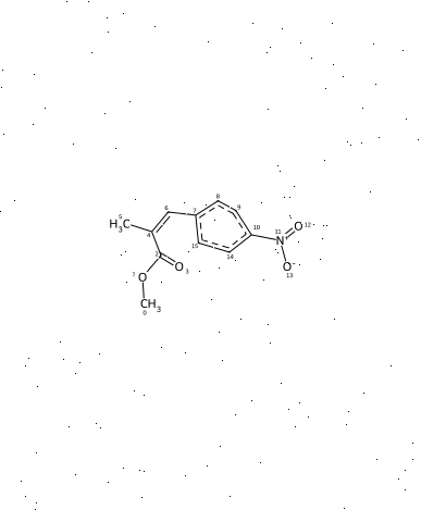 COC(=O)/C(C)=C\c1ccc([N+](=O)[O-])cc1